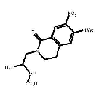 CNc1cc2c(cc1[N+](=O)[O-])C(=O)N(CC(C)NC(=O)O)CC2